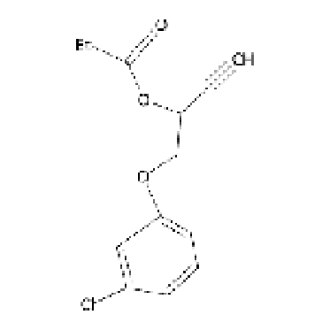 C#CC(COc1cccc(Cl)c1)OC(=O)CC